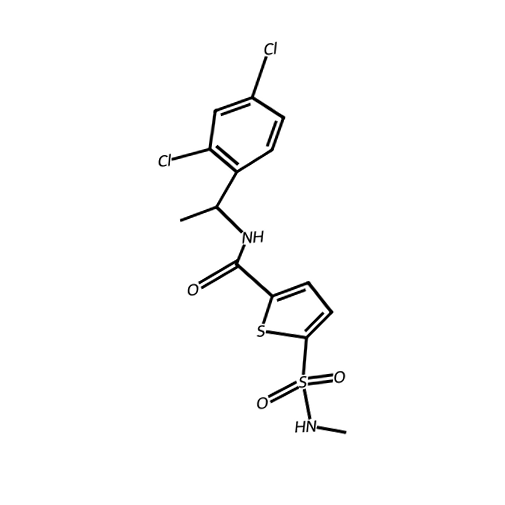 CNS(=O)(=O)c1ccc(C(=O)NC(C)c2ccc(Cl)cc2Cl)s1